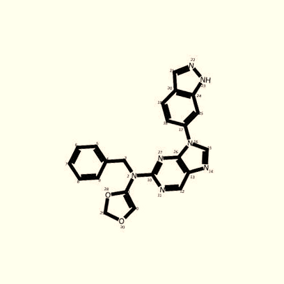 C1=C(N(Cc2ccccc2)c2ncc3ncn(-c4ccc5cn[nH]c5c4)c3n2)OCO1